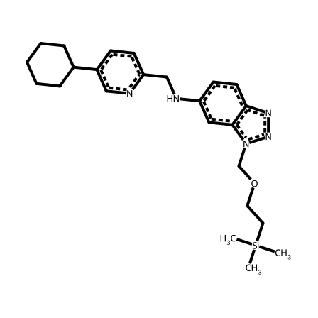 C[Si](C)(C)CCOCn1nnc2ccc(NCc3ccc(C4CCCCC4)cn3)cc21